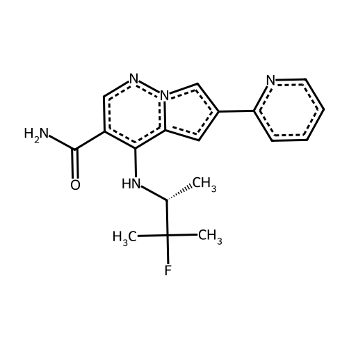 C[C@@H](Nc1c(C(N)=O)cnn2cc(-c3ccccn3)cc12)C(C)(C)F